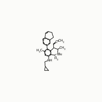 C=C=CC(c1c(C)c(NCC2CC2)cc(C)c1-c1ccc2c(c1)CCC=C2)C(C)C(C)(C)C